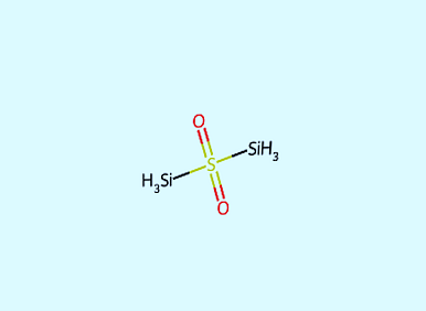 O=S(=O)([SiH3])[SiH3]